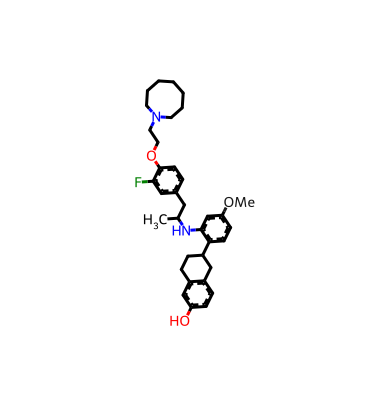 COc1ccc(C2CCc3cc(O)ccc3C2)c(NC(C)Cc2ccc(OCCN3CCCCCCC3)c(F)c2)c1